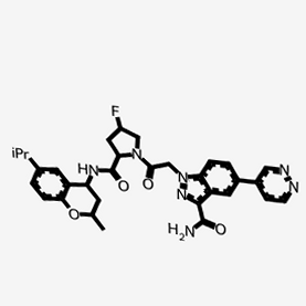 CC1CC(NC(=O)C2CC(F)CN2C(=O)Cn2nc(C(N)=O)c3cc(-c4ccnnc4)ccc32)c2cc(C(C)C)ccc2O1